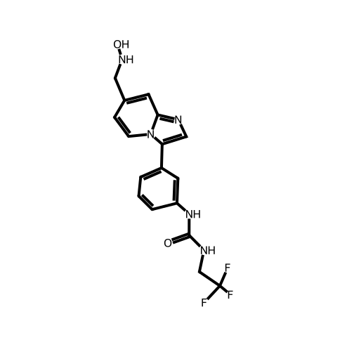 O=C(NCC(F)(F)F)Nc1cccc(-c2cnc3cc(CNO)ccn23)c1